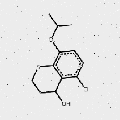 CC(C)Oc1ccc(Cl)c2c1SCCC2O